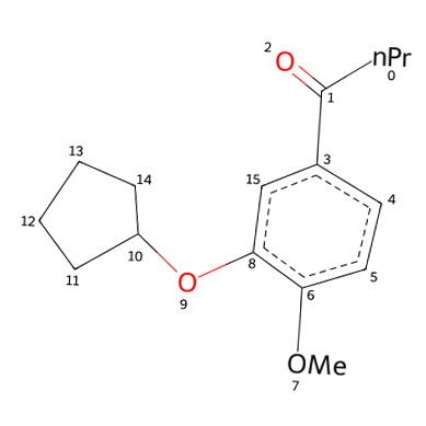 CCCC(=O)c1ccc(OC)c(OC2CCCC2)c1